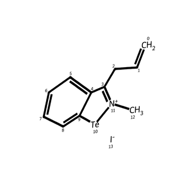 C=CCc1c2ccccc2[te][n+]1C.[I-]